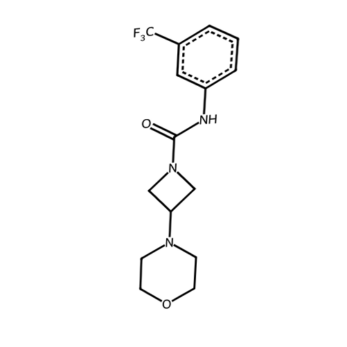 O=C(Nc1cccc(C(F)(F)F)c1)N1CC(N2CCOCC2)C1